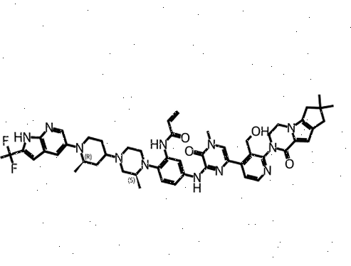 C=CC(=O)Nc1cc(Nc2nc(-c3ccnc(N4CCn5c(cc6c5CC(C)(C)C6)C4=O)c3CO)cn(C)c2=O)ccc1N1CCN(C2CCN(c3cnc4[nH]c(C(F)(F)F)cc4c3)[C@H](C)C2)C[C@@H]1C